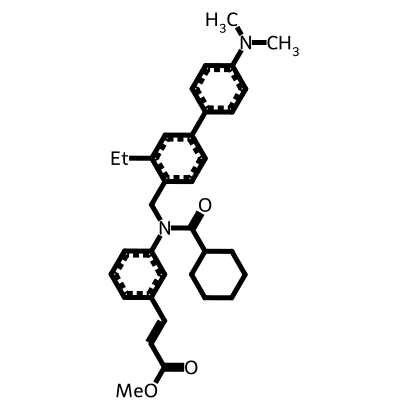 CCc1cc(-c2ccc(N(C)C)cc2)ccc1CN(C(=O)C1CCCCC1)c1cccc(/C=C/C(=O)OC)c1